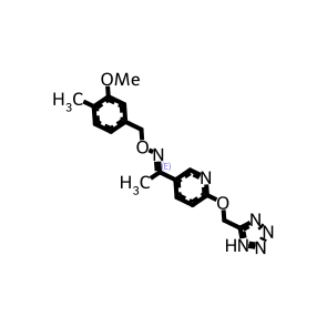 COc1cc(CO/N=C(\C)c2ccc(OCc3nnn[nH]3)nc2)ccc1C